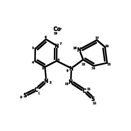 S=C=Nc1cccnc1N(N=C=S)c1ccccn1.[Co]